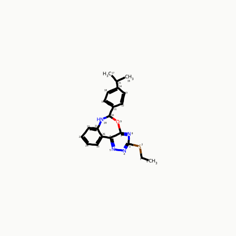 CCSc1nnc2c(n1)OC(c1ccc(C(C)C)cc1)Nc1ccccc1-2